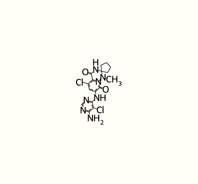 CN1n2c(c(Cl)cc(Nc3ncnc(N)c3Cl)c2=O)C(=O)NC12CCCC2